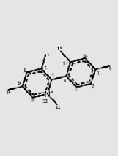 Cc1ccc(-c2c(C)cc(C)c[n+]2C)c(C)c1